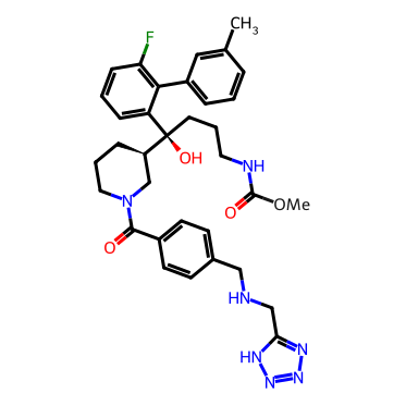 COC(=O)NCCC[C@@](O)(c1cccc(F)c1-c1cccc(C)c1)[C@@H]1CCCN(C(=O)c2ccc(CNCc3nnn[nH]3)cc2)C1